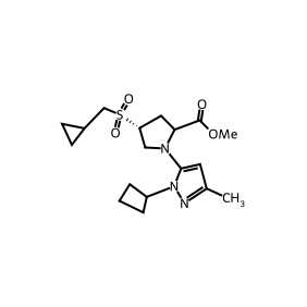 COC(=O)C1C[C@@H](S(=O)(=O)CC2CC2)CN1c1cc(C)nn1C1CCC1